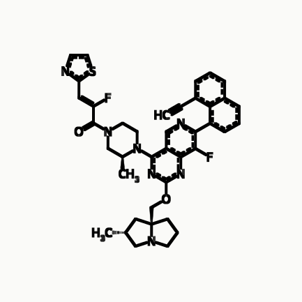 C#Cc1cccc2cccc(-c3ncc4c(N5CCN(C(=O)/C(F)=C/c6nccs6)C[C@@H]5C)nc(OC[C@@]56CCCN5C[C@H](C)C6)nc4c3F)c12